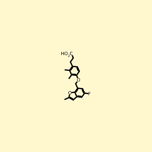 Cc1cc2cc(F)cc(COc3ccc(CCC(=O)O)c(C)c3C)c2o1